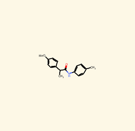 COc1ccc(C(C)C(=O)Nc2ccc(C)cc2)cc1